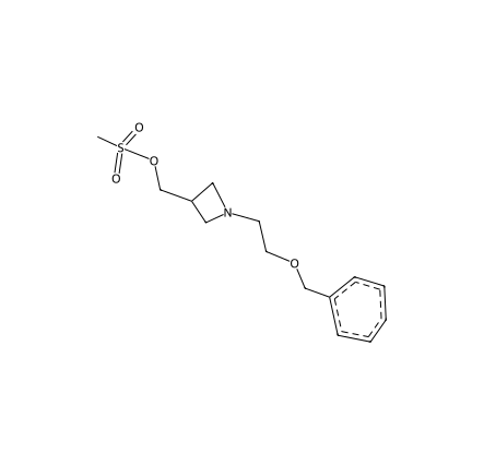 CS(=O)(=O)OCC1CN(CCOCc2ccccc2)C1